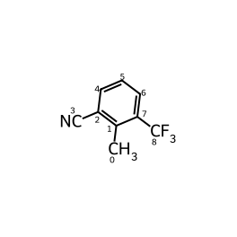 Cc1c(C#N)cccc1C(F)(F)F